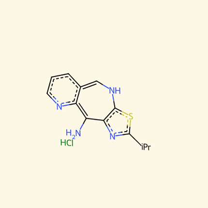 CC(C)c1nc2c(s1)NC=c1cccnc1=C2N.Cl